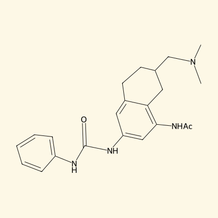 CC(=O)Nc1cc(NC(=O)Nc2ccccc2)cc2c1CC(CN(C)C)CC2